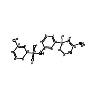 CC1(c2cccc(NS(=O)(=O)C3C=C(Cl)C=CC3)c2)CCSC(N)=N1